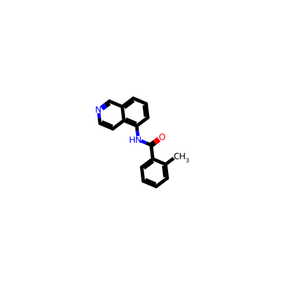 Cc1ccccc1C(=O)Nc1cccc2cnccc12